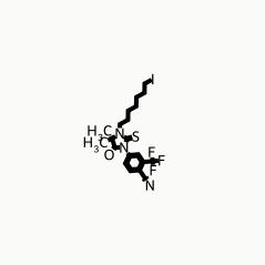 CC1(C)C(=O)N(c2ccc(C#N)c(C(F)(F)F)c2)C(=S)N1CCCCCCCI